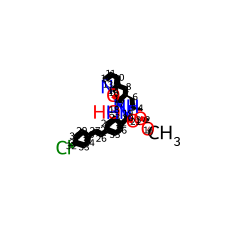 COCOC[C@H](C[C@H](Cc1cccnc1)C(=O)NO)NC(=O)c1ccc(C=Cc2ccc(Cl)cc2)cc1